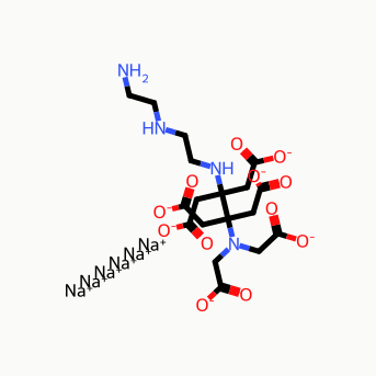 NCCNCCNC(CC(=O)[O-])(CC(=O)[O-])C(CC(=O)[O-])(CC(=O)[O-])N(CC(=O)[O-])CC(=O)[O-].[Na+].[Na+].[Na+].[Na+].[Na+].[Na+]